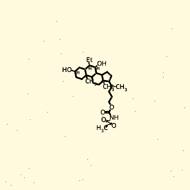 CC[C@@H]1C2C[C@H](O)CCC2(C)C2CC[C@@]3(C)C(CCC3[C@H](C)CCCOC(=O)NS(C)(=O)=O)C2[C@@H]1O